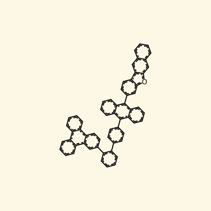 c1ccc(-c2ccc3c4ccccc4c4ccccc4c3c2)c(-c2ccc(-c3c4ccccc4c(-c4ccc5c(c4)oc4cc6ccccc6cc45)c4ccccc34)cc2)c1